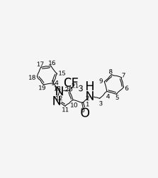 O=C(NCc1ccccc1)c1cnn(-c2ccccc2)c1C(F)(F)F